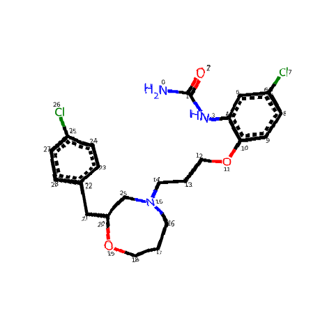 NC(=O)Nc1cc(Cl)ccc1OCCCN1CCCOC(Cc2ccc(Cl)cc2)C1